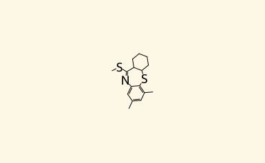 CSC1=Nc2cc(C)cc(C)c2SC2CCCCC12